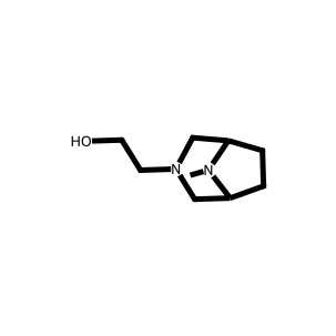 CN1C2CCC1CN(CCO)C2